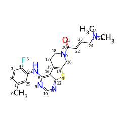 Cc1ccc(F)c(Nc2ncnc3sc4c(c23)CCN(C(=O)/C=C/CN(C)C)C4)c1